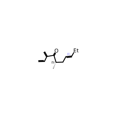 C=CC(=C)C(=O)[C@@H](C)C/C=C/CC